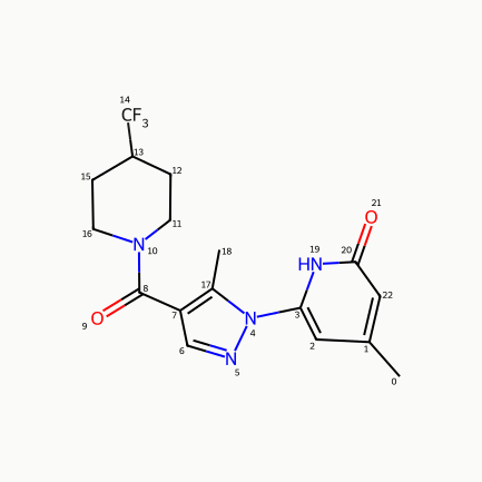 Cc1cc(-n2ncc(C(=O)N3CCC(C(F)(F)F)CC3)c2C)[nH]c(=O)c1